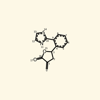 C=C1CC(c2ccccc2-c2nccs2)OC1=O